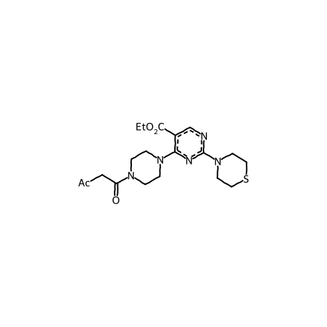 CCOC(=O)c1cnc(N2CCSCC2)nc1N1CCN(C(=O)CC(C)=O)CC1